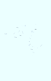 CC[C@@H]1CC/C=C\[C@H]2C[C@@]2(C(=O)NS(=O)(=O)C2CC2)NC(=O)[C@@H]2C[C@@H](Oc3ncc(C(=O)OC)c4cc(OC)ccc34)CN2C(=O)[C@@H](NC(=O)OC(C)(C)C(F)(F)F)[C@H](CC)C1